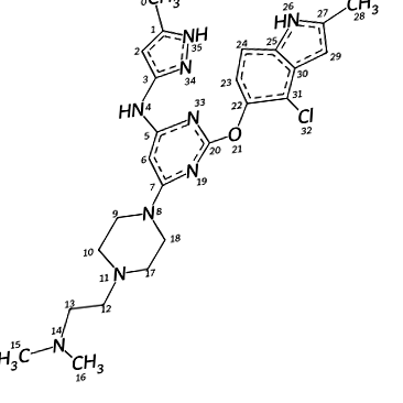 Cc1cc(Nc2cc(N3CCN(CCN(C)C)CC3)nc(Oc3ccc4[nH]c(C)cc4c3Cl)n2)n[nH]1